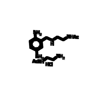 CC(=O)NCCN.CC(=O)NCCNCc1cc(N)ccc1N.Cl